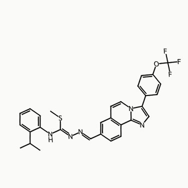 CSC(=NN=Cc1ccc2c(ccn3c(-c4ccc(OC(F)(F)F)cc4)cnc23)c1)Nc1ccccc1C(C)C